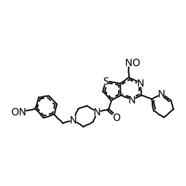 O=Nc1cccc(CN2CCN(C(=O)c3csc4c(N=O)nc(C5=CCCC=N5)nc34)CC2)c1